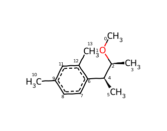 CO[C@@H](C)[C@@H](C)c1ccc(C)cc1C